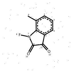 Cc1cccc2c1N(F)C(=O)C2=O